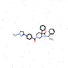 C[C@H](NC(=O)C1(c2ccccc2)CCN(C(=O)c2ccc(C3=NN(C)CC3)cc2)CC1)C1=CC=CCC1